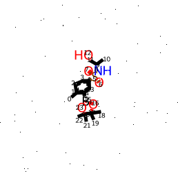 Cc1ccc(S(=O)(=O)NC(C)CO)cc1B1OC(C)(C)C(C)(C)O1